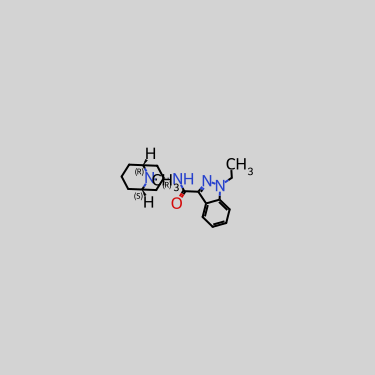 CCn1nc(C(=O)N[C@H]2C[C@H]3CCC[C@@H](C2)N3C)c2ccccc21